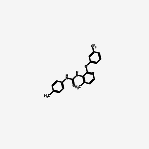 Cc1ccc(NC(=O)Nc2c(C)ccnc2Oc2cccc(C(F)(F)F)c2)cc1